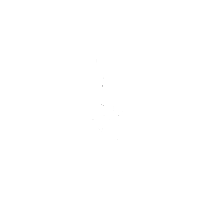 C[C@H]1CCC(F)(F)c2c(C[C@H]3CCCc4cc(F)cnc43)ccnc21